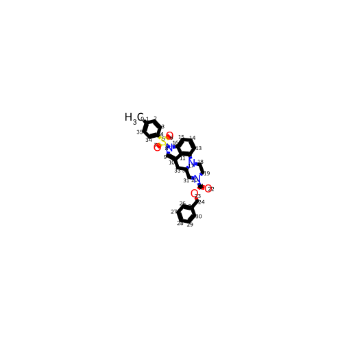 Cc1ccc(S(=O)(=O)n2cc3c4c(cccc42)N2CCN(C(=O)OCc4ccccc4)CC2C3)cc1